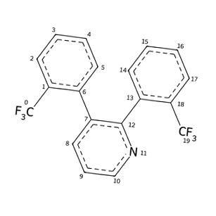 FC(F)(F)c1ccccc1-c1cccnc1-c1ccccc1C(F)(F)F